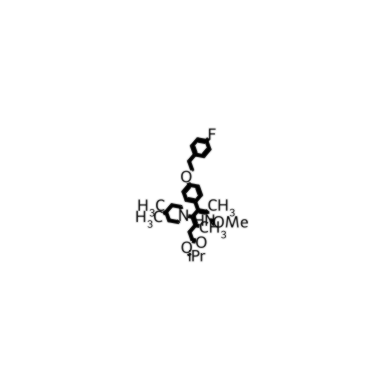 CON/C(C)=C(\C(=C(/C)CC(=O)OC(C)C)N1CCC(C)(C)CC1)c1ccc(OCCc2ccc(F)cc2)cc1